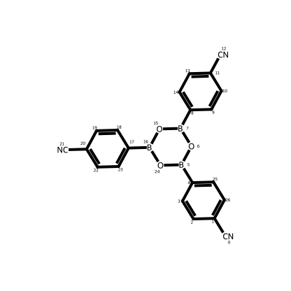 N#Cc1ccc(B2OB(c3ccc(C#N)cc3)OB(c3ccc(C#N)cc3)O2)cc1